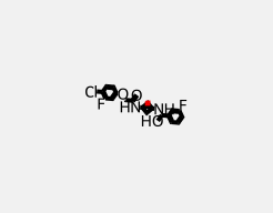 O=C(COc1ccc(Cl)c(F)c1)NC12CC(NC(O)c3cccc(F)c3)(C1)C2